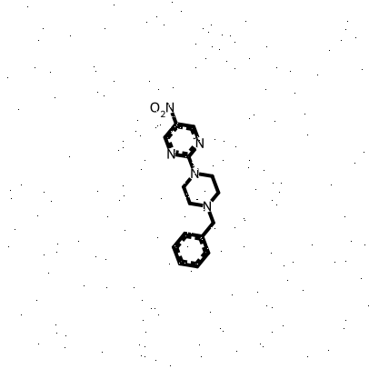 O=[N+]([O-])c1cnc(N2CCN(Cc3ccccc3)CC2)nc1